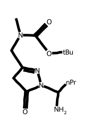 CCCC(N)N1N=C(CN(C)C(=O)OC(C)(C)C)CC1=O